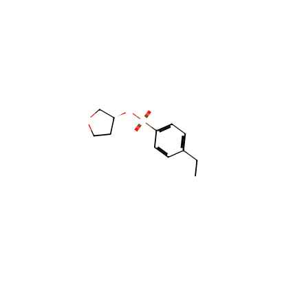 CCc1ccc(S(=O)(=O)O[C@H]2CCOC2)cc1